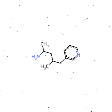 CC(N)CC(C)Cc1cccnc1